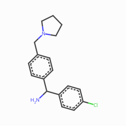 NC(c1ccc(Cl)cc1)c1ccc(CN2CCCC2)cc1